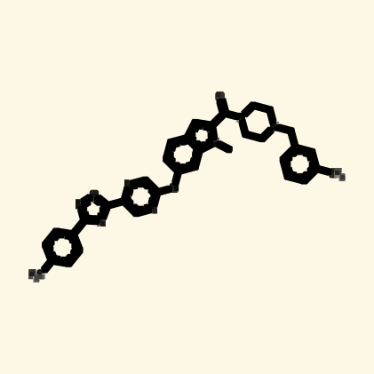 Cn1c(C(=O)N2CCN(Cc3cccc(C(F)(F)F)c3)CC2)cc2ccc(Oc3cnc(-c4nc(-c5ccc(C(F)(F)F)cc5)no4)cn3)cc21